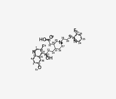 COc1ccc2ncc(F)c([C@H](O)CCC3CCN(CCSc4ncccc4F)CC3CC(=O)O)c2c1